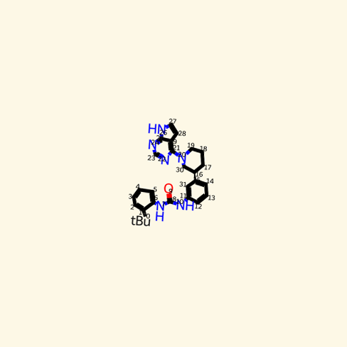 CC(C)(C)c1ccccc1NC(=O)Nc1cccc([C@@H]2CCCN(c3ncnc4[nH]ccc34)C2)c1